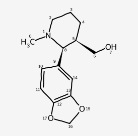 CN1CCC[C@@H](CO)[C@H]1c1ccc2c(c1)OCO2